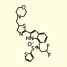 [O-][S+](c1cccs1)N(CC(F)F)c1cccc2cc(C3=NCC(CN4CCOCC4)S3)[nH]c12